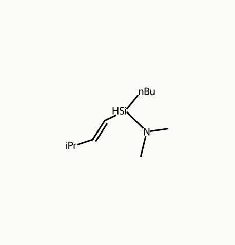 CCCC[SiH](C=CC(C)C)N(C)C